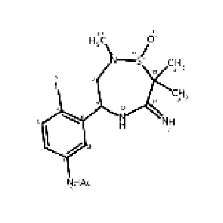 CC(=O)Nc1ccc(F)c(C2CN(C)[S+]([O-])C(C)(C)C(=N)N2)c1